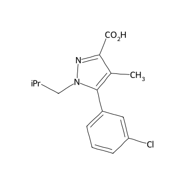 Cc1c(C(=O)O)nn(CC(C)C)c1-c1cccc(Cl)c1